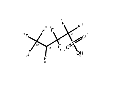 O=S(=O)(O)C(F)(F)C(F)(F)[C](F)C(F)(F)F